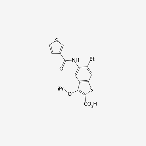 CCc1cc2sc(C(=O)O)c(OC(C)C)c2cc1NC(=O)c1ccsc1